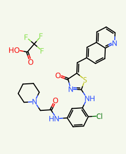 O=C(CN1CCCCC1)Nc1ccc(Cl)c(NC2=NC(=O)/C(=C/c3ccc4ncccc4c3)S2)c1.O=C(O)C(F)(F)F